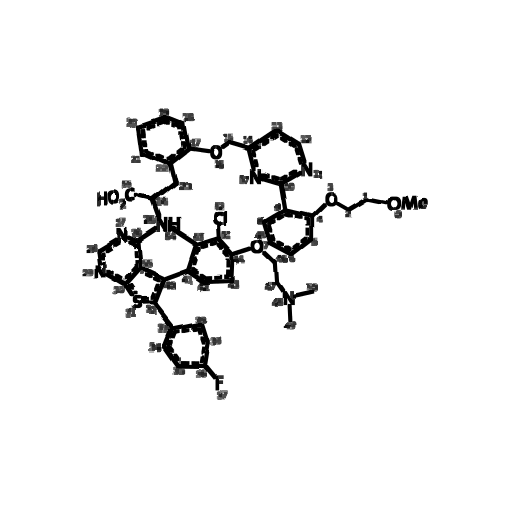 COCCOc1ccccc1-c1nccc(COc2ccccc2CC(Nc2ncnc3sc(-c4ccc(F)cc4)c(-c4ccc(OCCN(C)C)c(Cl)c4C)c23)C(=O)O)n1